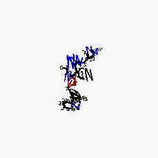 Cc1nc(NCc2cnn(C)c2)c(C#N)c(OC[C@H]2C[C@@H]2c2ccccn2)n1